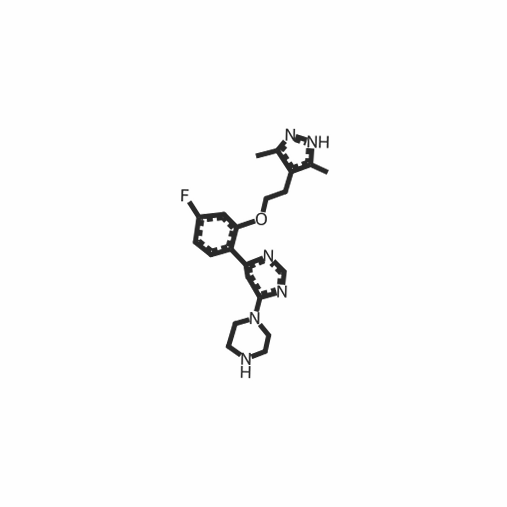 Cc1n[nH]c(C)c1CCOc1cc(F)ccc1-c1cc(N2CCNCC2)ncn1